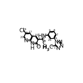 Cc1nnnn1-c1cccc(NC(C)c2cc3cc(Cl)cnc3[nH]c2=O)c1